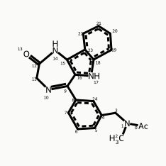 CC(=O)N(C)Cc1cccc(C2=NCC(=O)Nc3c2[nH]c2ccccc32)c1